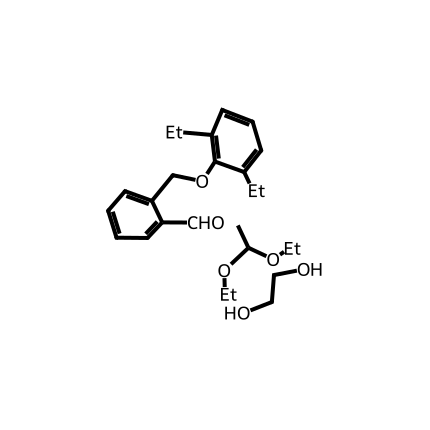 CCOC(C)OCC.CCc1cccc(CC)c1OCc1ccccc1C=O.OCCO